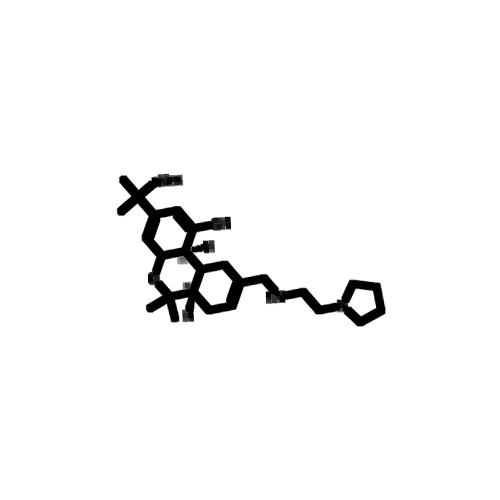 CCCCCCC(C)(C)C1=CC2OC(C)(C)[C@H]3CC=C(CNCCN4CCCC4)CC3[C@@H]2C(O)=C1